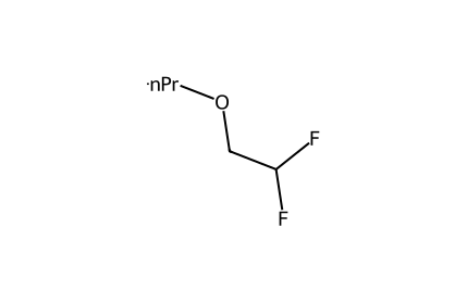 CC[CH]OCC(F)F